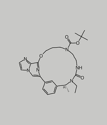 CCN1C(=O)NCCN(C(=O)OC(C)(C)C)CCCOc2nc(cn3ccnc23)-c2cccc(c2)[C@H]1C